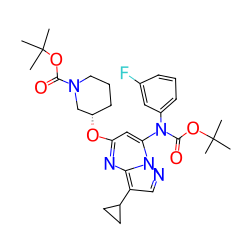 CC(C)(C)OC(=O)N1CCC[C@H](Oc2cc(N(C(=O)OC(C)(C)C)c3cccc(F)c3)n3ncc(C4CC4)c3n2)C1